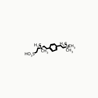 C[N+](C)(CCc1ccc(CC[Si](C)(C)C)cc1)CCS(=O)(=O)O